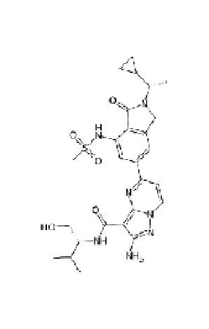 CC(C)[C@H](CO)NC(=O)c1c(N)nn2ccc(-c3cc4c(c(NS(C)(=O)=O)c3)C(=O)N([C@@H](C)C3CC3)C4)nc12